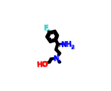 CN(CCO)CC[C@H](N)c1ccc(F)cc1